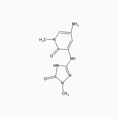 Bc1cc(Nc2nn(C)c(=O)[nH]2)c(=O)n(C)c1